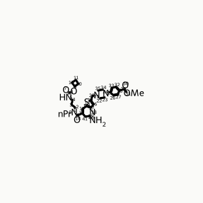 CCCN(CCCNC(=O)OC1CCC1)C(=O)C1=Cc2sc(CN3CCN(c4ccc(C(=O)OC)cc4)CC3)cc2N=C(N)C1